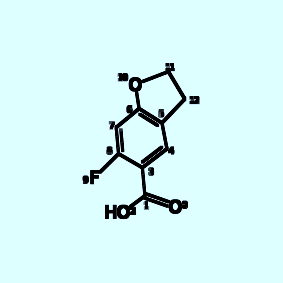 O=C(O)c1cc2c(cc1F)OCC2